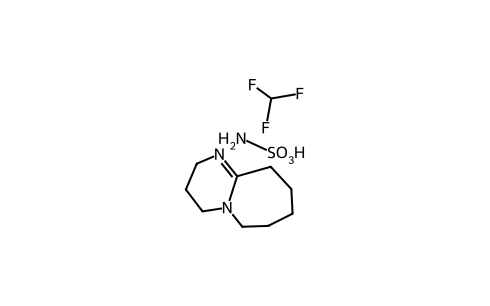 C1CCC2=NCCCN2CC1.FC(F)F.NS(=O)(=O)O